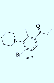 C=C.CCC(=O)c1ccc(Br)c(N2CCCCC2)c1C